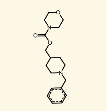 O=C(OCC1CCN(Cc2ccccc2)CC1)N1CCOCC1